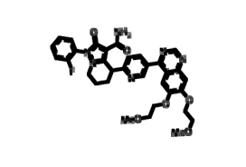 COCCOc1cc2ncnc(-c3ccc(C4CCCn5c4c(C(N)=O)c(=O)n5-c4ccccc4F)nc3)c2cc1OCCOC